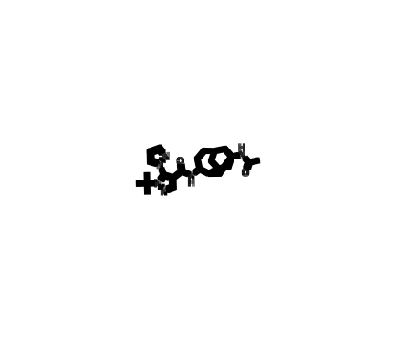 CC(=O)NC12CC3CCC(NC(=O)c4cnn(C(C)(C)C)c4-n4cccn4)C(C1)C(C3)C2